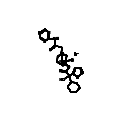 O=C(C[N+]12CCC(CC1)[C@@H](OC(=O)C(O)(c1cccs1)C1CCCCC1)C2)Nc1ncncn1.[Br-]